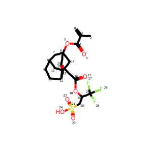 C=C(C)C(=O)OC12CC3CCC(C(C3)C1)C(C(=O)OC(CS(=O)(=O)O)C(F)(F)F)C2